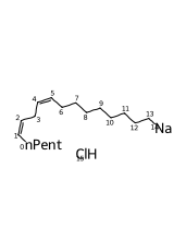 CCCCC/C=C\C/C=C\CCCCCCC[CH2][Na].Cl